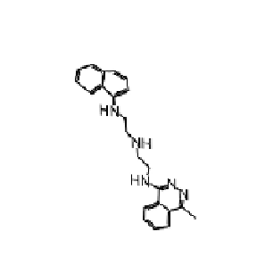 Cc1nnc(NCCNCCNc2cccc3ccccc23)c2ccccc12